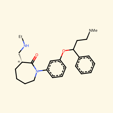 CCNC[C@H]1CCCCN(c2cccc(OC(CCNC)c3ccccc3)c2)C1=O